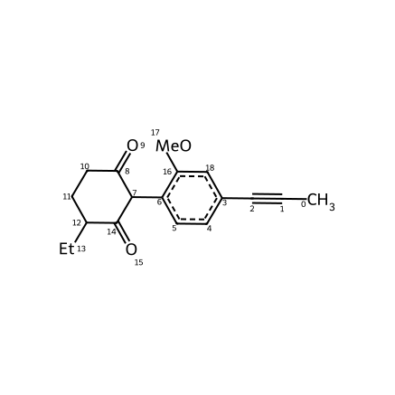 CC#Cc1ccc(C2C(=O)CCC(CC)C2=O)c(OC)c1